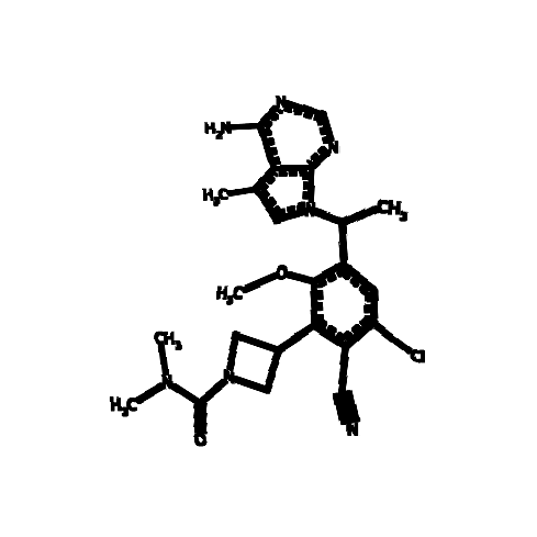 COc1c(C(C)n2cc(C)c3c(N)ncnc32)cc(Cl)c(C#N)c1C1CN(C(=O)N(C)C)C1